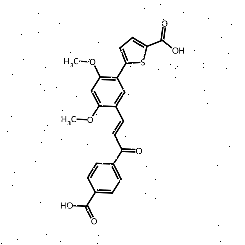 COc1cc(OC)c(-c2ccc(C(=O)O)s2)cc1C=CC(=O)c1ccc(C(=O)O)cc1